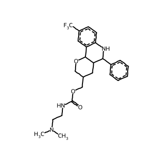 CN(C)CCNC(=O)OCC1COC2c3cc(C(F)(F)F)ccc3NC(c3ccccc3)C2C1